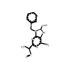 Nc1nc(C([S+]=O)C(F)(F)F)nc2c1NC(C=O)N2Cc1ccccc1